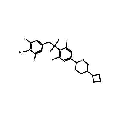 Cc1c(F)cc(OC(F)(F)c2c(F)cc(C3CCC(C4CCC4)CO3)cc2F)cc1F